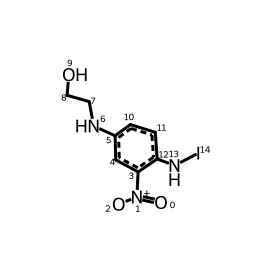 O=[N+]([O-])c1cc(NCCO)ccc1NI